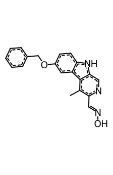 Cc1c(C=NO)ncc2[nH]c3ccc(OCc4ccccc4)cc3c12